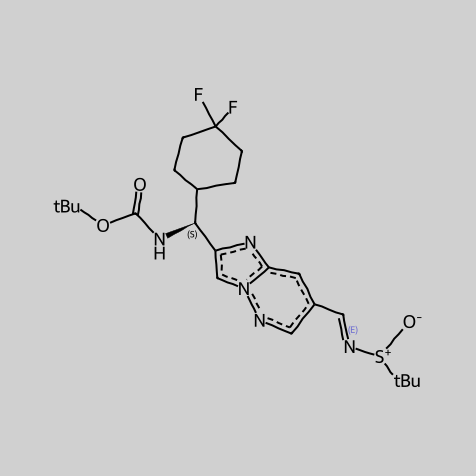 CC(C)(C)OC(=O)N[C@H](c1cn2ncc(/C=N/[S+]([O-])C(C)(C)C)cc2n1)C1CCC(F)(F)CC1